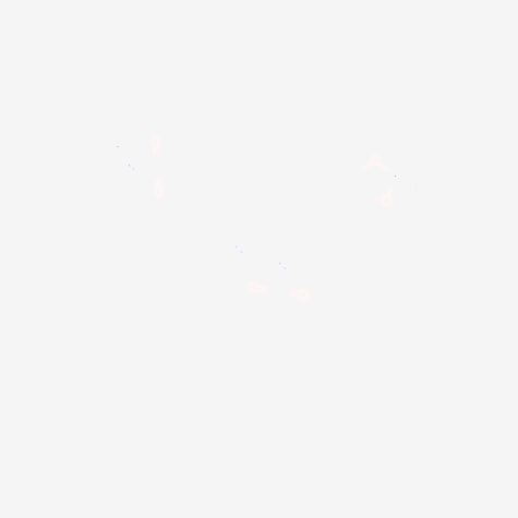 Cc1ccc(S(=O)(=O)n2cc(-c3ccc4c(c3)OC(F)(F)O4)c3cc(-c4cccc(S(=O)(=O)N(C)C(C)(C)C)c4)cnc32)cc1